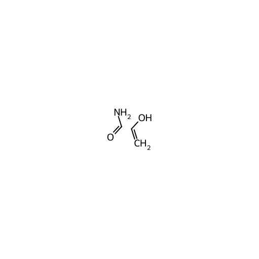 C=CO.NC=O